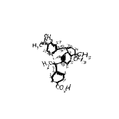 C=C(c1ccc(C(=O)O)cc1)c1ccc2c(c1)C(c1ccc(N(C)C)cn1)=CCC2(C)C